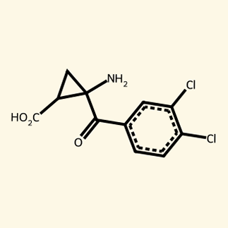 NC1(C(=O)c2ccc(Cl)c(Cl)c2)CC1C(=O)O